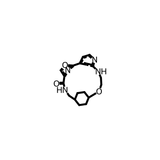 O=C1NCC2CCC(CC2)OCCNc2cc(ccn2)-c2nc1co2